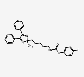 CC1(CCCCCNC(=O)Oc2ccc(F)cc2)N=C(c2ccccc2)C(c2ccccc2)=N1